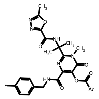 CC(=O)C(=O)Oc1c(C(=O)NCc2ccc(F)cc2)nc(C(C)(C)NC(=O)c2nnc(C)o2)n(C)c1=O